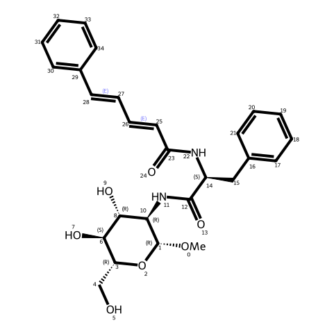 CO[C@@H]1O[C@H](CO)[C@@H](O)[C@H](O)[C@H]1NC(=O)[C@H](Cc1ccccc1)NC(=O)/C=C/C=C/c1ccccc1